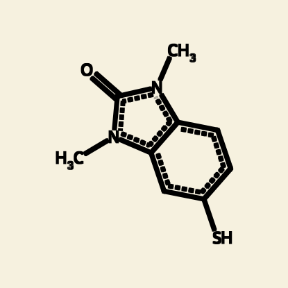 Cn1c(=O)n(C)c2cc(S)ccc21